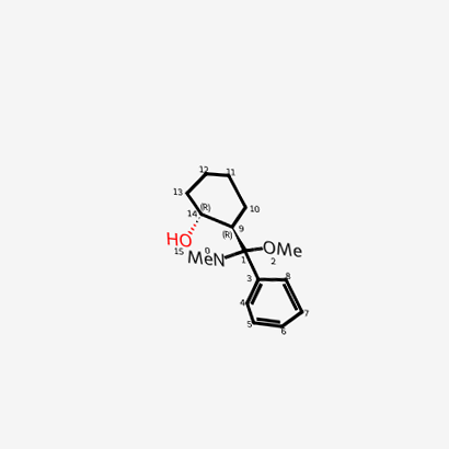 CNC(OC)(c1ccccc1)[C@@H]1CCCC[C@H]1O